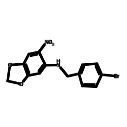 O=[N+]([O-])c1cc2c(cc1NCc1ccc(Br)cc1)OCO2